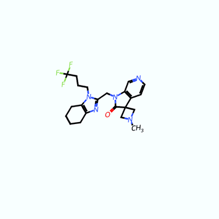 CN1CC2(C1)C(=O)N(Cc1nc3c(n1CCCC(F)(F)F)CCCC3)c1cnccc12